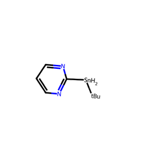 C[C](C)(C)[SnH2][c]1ncccn1